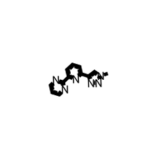 Cn1cc(-c2cccc(-c3ncccn3)n2)nn1